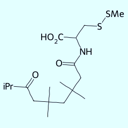 CSSCC(NC(=O)CC(C)(C)CC(C)(C)CC(=O)C(C)C)C(=O)O